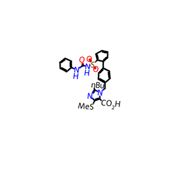 CCCCc1nc(SC)c(C(=O)O)n1Cc1ccc(-c2ccccc2S(=O)(=O)NC(=O)Nc2ccccc2)cc1